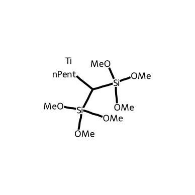 CCCCCC([Si](OC)(OC)OC)[Si](OC)(OC)OC.[Ti]